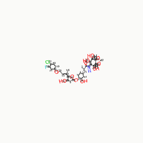 CC(=Cc1ccc(O[C@H]2C[C@H](O)[C@@H](C(C)=CCOc3ccc(Cl)c(F)c3)O2)c(O)c1)C(=O)N[C@@H]1[C@H](O)[C@@H](O)[C@H]2OCO[C@H]2[C@@H]1O